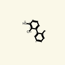 Cc1ccccc1-c1cccc(S)c1Cl